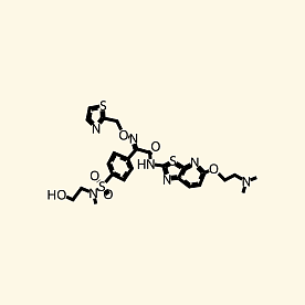 CN(C)CCOc1ccc2nc(NC(=O)/C(=N/OCc3nccs3)c3ccc(S(=O)(=O)N(C)CCO)cc3)sc2n1